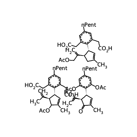 C=C(C)[C@@H]1C(=O)C(C)=C[C@H]1c1c(OC(C)=O)cc(CCCCC)cc1OC(C)=O.C=C(C)[C@@H]1C(OC(C)=O)C(C)=C[C@H]1c1c(CC(=O)O)cc(CCCCC)cc1CC(=O)O.C=C(COC(C)=O)[C@@H]1CC(C)=C[C@H]1c1c(CC(=O)O)cc(CCCCC)cc1CC(=O)O